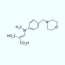 CN(C=C(C(=O)O)C(=O)O)c1ccc(CN2CCOCC2)cc1